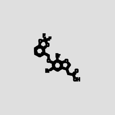 O=C(O)CC1COc2c1cc(Br)c(OCc1cccc3c1OC(F)(F)O3)c2Br